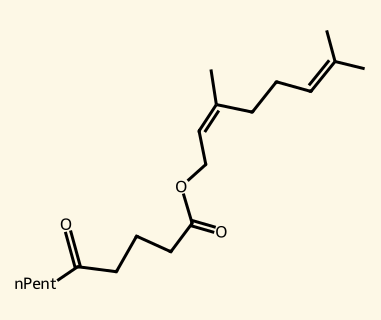 CCCCCC(=O)CCCC(=O)OCC=C(C)CCC=C(C)C